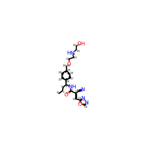 CCCC(NC(=O)/C(C#N)=C/c1nnco1)c1ccc(COCCNCCO)cc1